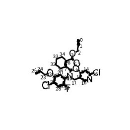 C#CCOC(=O)C1=C(C(=O)N(Cc2ccc(Cl)nc2)c2cc(OCC=C)c(Cl)cc2F)CCCC1